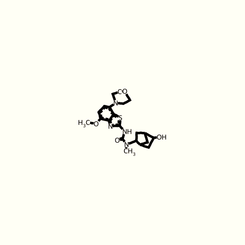 COc1ccc(N2CCOCC2)c2sc(NC(=O)N(C)C3CC4CC3CC4O)nc12